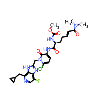 COC(=O)N[C@@H](CC/C=C/C(=O)N(C)C)C(=O)Nc1ccc(Cl)n(Cc2nc3c(F)cnc(CC4CC4)c3[nH]2)c1=O